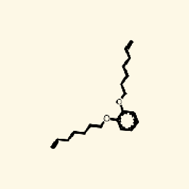 C=CCCCCCOc1ccccc1OCCCCCC=C